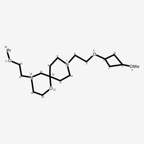 COC1CC(OCCN2CCC3(CC2)CN(CCOC(C)C)CCO3)C1